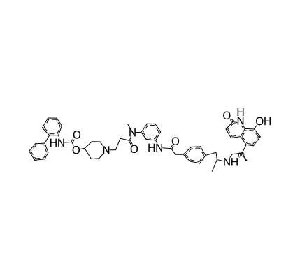 CC(Cc1ccc(CC(=O)Nc2cccc(N(C)C(=O)CCN3CCC(OC(=O)Nc4ccccc4-c4ccccc4)CC3)c2)cc1)NC[C@H](C)c1ccc(O)c2[nH]c(=O)ccc12